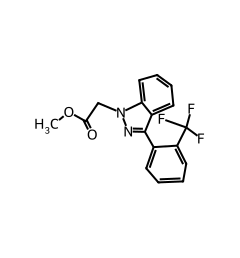 COC(=O)Cn1nc(-c2ccccc2C(F)(F)F)c2ccccc21